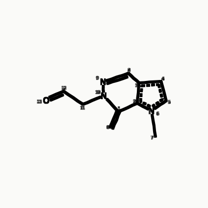 C=C1c2c(ccn2C)C=NN1CC=O